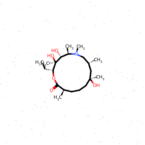 CC[C@H]1OC(=O)[C@H](C)CCC[C@](C)(O)C[C@@H](C)CN(C)[C@H](C)[C@@H](O)[C@]1(C)O